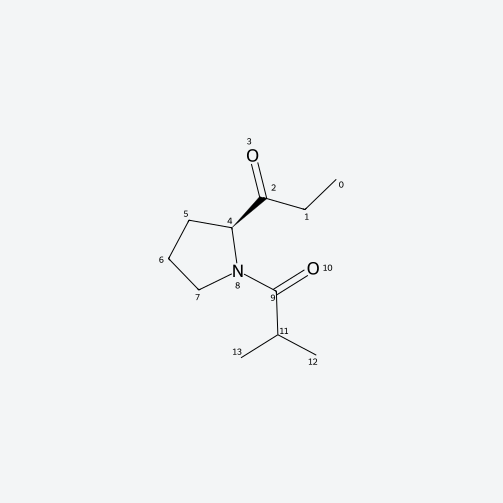 CCC(=O)[C@@H]1CCCN1C(=O)C(C)C